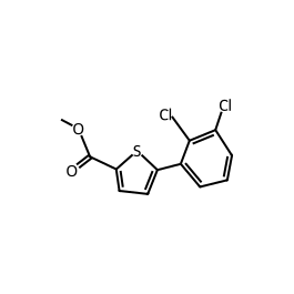 COC(=O)c1ccc(-c2cccc(Cl)c2Cl)s1